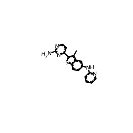 Cc1c(-c2ccnc(N)n2)sc2ccc(Nc3ccccn3)cc12